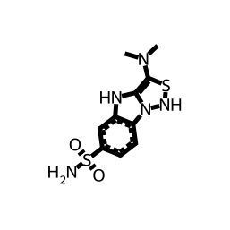 CN(C)C1=C2Nc3cc(S(N)(=O)=O)ccc3N2NS1